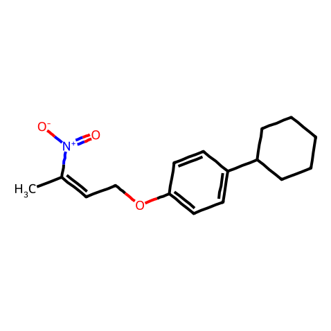 CC(=CCOc1ccc(C2CCCCC2)cc1)[N+](=O)[O-]